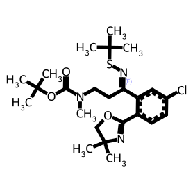 CN(CC/C(=N\SC(C)(C)C)c1cc(Cl)ccc1C1=NC(C)(C)CO1)C(=O)OC(C)(C)C